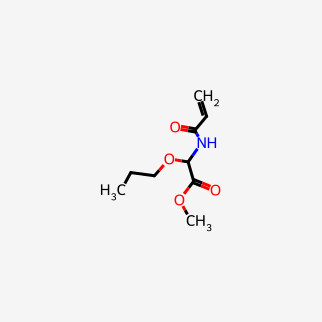 C=CC(=O)NC(OCCC)C(=O)OC